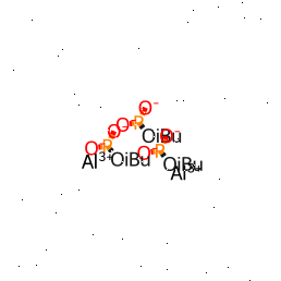 CC(C)COP([O-])[O-].CC(C)COP([O-])[O-].CC(C)COP([O-])[O-].[Al+3].[Al+3]